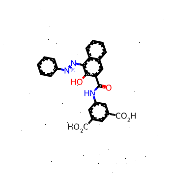 O=C(O)c1cc(NC(=O)c2cc3ccccc3c(/N=N/c3ccccc3)c2O)cc(C(=O)O)c1